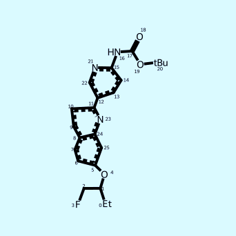 CCC(CF)Oc1ccc2ccc(-c3ccc(NC(=O)OC(C)(C)C)nc3)nc2c1